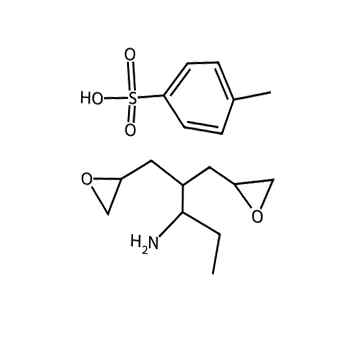 CCC(N)C(CC1CO1)CC1CO1.Cc1ccc(S(=O)(=O)O)cc1